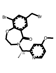 COc1ccnc([C@H](C)N2CCOc3c(Br)cc(CBr)cc3C2=O)c1